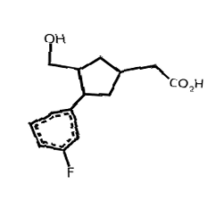 O=C(O)CC1CC(CO)C(c2cccc(F)c2)C1